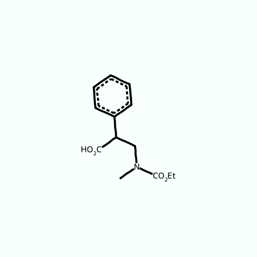 CCOC(=O)N(C)CC(C(=O)O)c1ccccc1